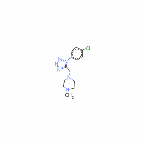 CN1CCN(Cc2nnnn2-c2ccc(Cl)cc2)CC1